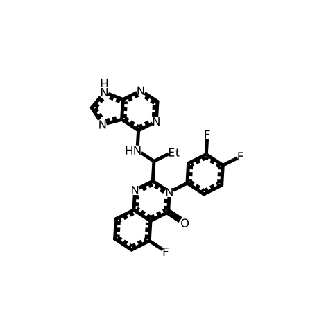 CCC(Nc1ncnc2[nH]cnc12)c1nc2cccc(F)c2c(=O)n1-c1ccc(F)c(F)c1